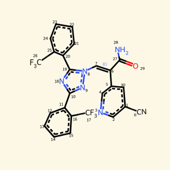 N#Cc1cncc(/C(=C\n2nc(-c3ccccc3C(F)(F)F)nc2-c2ccccc2C(F)(F)F)C(N)=O)c1